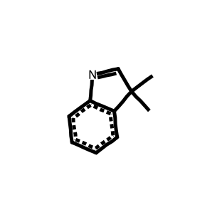 CC1(C)C=Nc2ccccc21